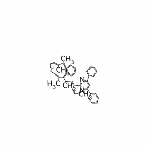 C=C(/C=C(\C=C/C)c1nc(-c2ccccc2)cc(-c2ccccc2)n1)C1=c2\cccc\c2=C(C)\C(C)=C\CC\C=C\1C